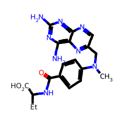 CCC(NC(=O)c1ccc(N(C)Cc2cnc3nc(N)nc(N)c3n2)cc1)C(=O)O